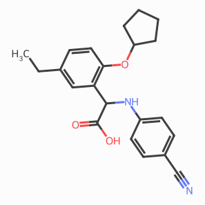 CCc1ccc(OC2CCCC2)c(C(Nc2ccc(C#N)cc2)C(=O)O)c1